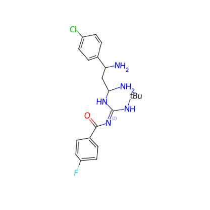 CC(C)(C)N/C(=N/C(=O)c1ccc(F)cc1)NC(N)CC(N)c1ccc(Cl)cc1